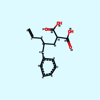 C=CCC(Cc1ccccc1)CC(C(=O)O)C(=O)O